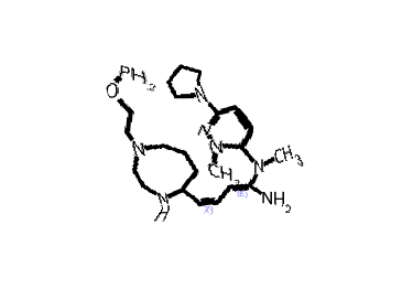 CN1N=C(N2CCCC2)C=CC1N(C)/C(N)=C/C=C\C1CCCN(CCOP)CCN1